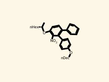 CCCCCCCCCCOc1ccc(-c2c(-c3ccccc3)ccc(O[C@H](C)CCCCCC)c2[N+](=O)[O-])cc1